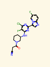 N#CCC(=O)N1CCC[C@@H](Nc2nc(-c3cnc4ccc(F)cn34)nc(Cl)c2F)C1